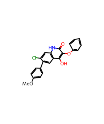 COc1ccc(-c2cc3c(O)c(Oc4ccccc4)c(=O)[nH]c3cc2Cl)cc1